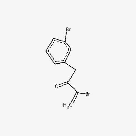 C=C(Br)C(=O)Cc1cccc(Br)c1